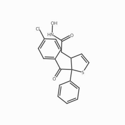 O=C(CC1C=CSC1(C(=O)c1ccc(Cl)cc1)c1ccccc1)NO